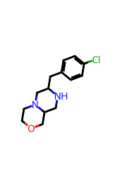 Clc1ccc(CC2CN3CCOCC3CN2)cc1